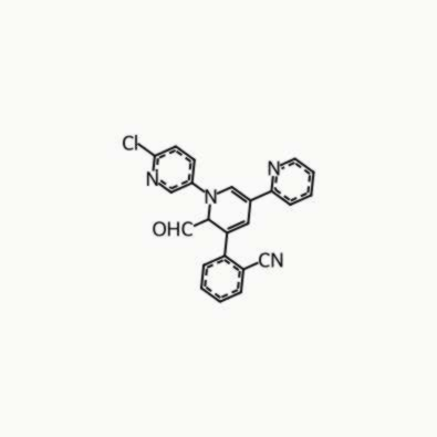 N#Cc1ccccc1C1=CC(c2ccccn2)=CN(c2ccc(Cl)nc2)C1C=O